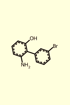 Nc1cccc(O)c1-c1cccc(Br)c1